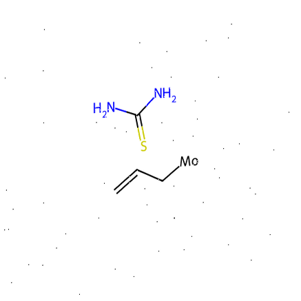 C=C[CH2][Mo].NC(N)=S